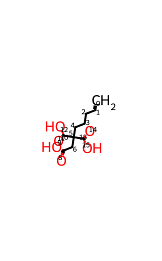 C=CCCCC(CC(=O)O)(C(=O)O)C(=O)O